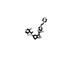 CC(Oc1ccc2[nH]nc(-c3nc4c([nH]3)CN(CCN3CCOCC3)C4)c2c1)c1c(Cl)cncc1Cl